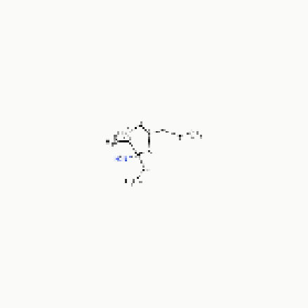 CCCC(CC)C[Si](N)(CC)CC